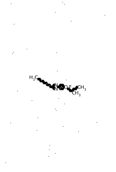 CCCCCCCCCCc1cnc(-c2ccc(OCC(F)CC(C)CCCC)cc2)nc1